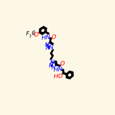 O=C(NCc1cccc(OC(F)(F)F)c1)c1cn(CCCCn2cc(C(=O)NC[C@@H](O)c3ccccc3)nn2)nn1